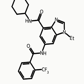 CCn1cnc2c(C(=O)NC3CCCCC3)cc(NC(=O)c3ccccc3C(F)(F)F)cc21